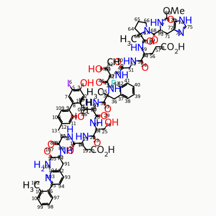 CCc1cc(O)c(I)cc1-c1ccc(C[C@H](NC(=O)[C@H](CC(=O)O)NC(=O)[C@H](CO)NC(=O)[C@@H](NC(=O)C(C)(Cc2ccccc2F)NC(=O)[C@@H](NC(=O)CNC(=O)[C@H](CCC(=O)O)NC(=O)C2(C)CCCN2C(=O)[C@H](Cc2c[nH]cn2)NC(=O)OC)[C@@H](C)O)[C@@H](C)O)C(=O)N[C@@H](Cc2ccc(-c3ccccc3C)nc2)C(N)=O)cc1